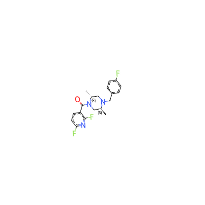 C[C@@H]1CN(Cc2ccc(F)cc2)[C@@H](C)CN1C(=O)c1ccc(F)nc1F